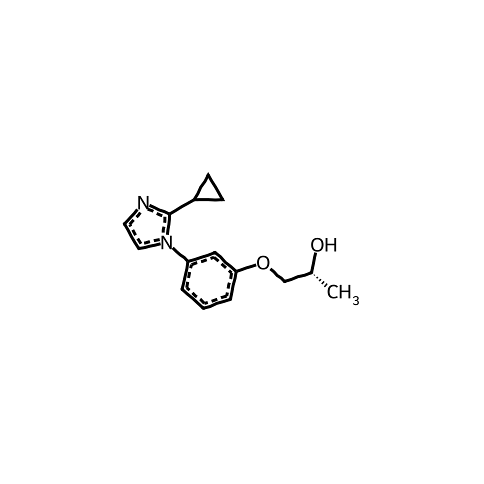 C[C@@H](O)COc1cccc(-n2ccnc2C2CC2)c1